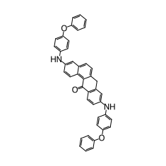 O=C1c2ccc(Nc3ccc(Oc4ccccc4)cc3)cc2Cc2ccc3cc(Nc4ccc(Oc5ccccc5)cc4)ccc3c21